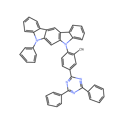 N#Cc1cc(-c2nc(-c3ccccc3)nc(-c3ccccc3)n2)ccc1-n1c2ccccc2c2cc3c4ccccc4n(-c4ccccc4)c3cc21